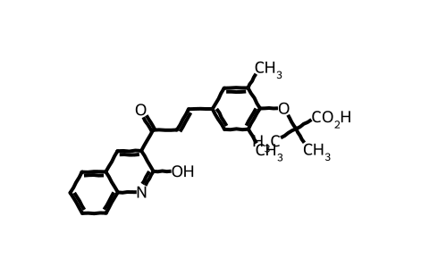 Cc1cc(C=CC(=O)c2cc3ccccc3nc2O)cc(C)c1OC(C)(C)C(=O)O